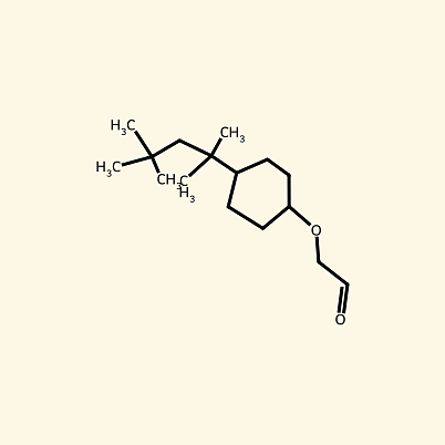 CC(C)(C)CC(C)(C)C1CCC(OCC=O)CC1